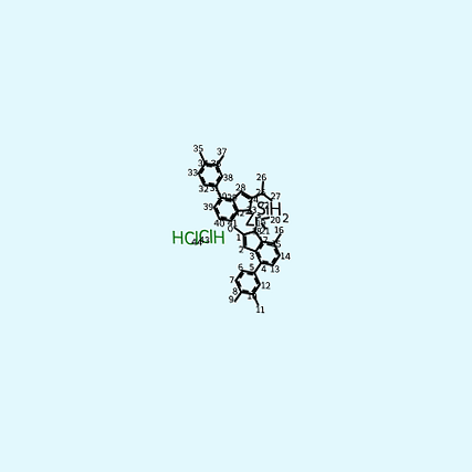 CC1=Cc2c(-c3ccc(C)c(C)c3)ccc(C)c2[CH]1[Zr]([CH3])([CH3])(=[SiH2])[CH]1C(C(C)C)=Cc2c(-c3ccc(C)c(C)c3)cccc21.Cl.Cl